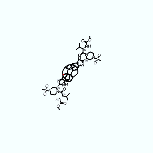 COC(=O)N[C@H](C(=O)N1CCN(S(C)(=O)=O)C[C@H]1c1nc2cc(-c3cc4ccc3CCc3ccc(c(-c5ccc6[nH]c([C@@H]7CN(S(C)(=O)=O)CCN7C(=O)[C@@H](NC(=O)OC)C(C)C)nc6c5)c3)CC4)ccc2[nH]1)C(C)C